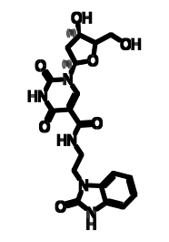 O=C(NCCn1c(=O)[nH]c2ccccc21)c1cn([C@H]2C[C@@H](O)C(CO)O2)c(=O)[nH]c1=O